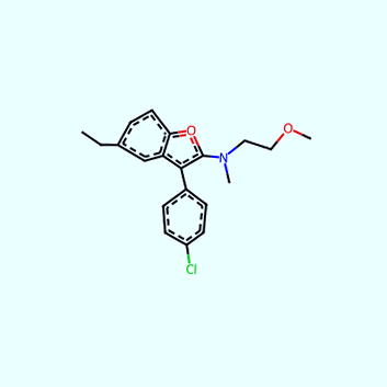 CCc1ccc2oc(N(C)CCOC)c(-c3ccc(Cl)cc3)c2c1